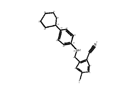 N#Cc1ccc(F)cc1CNc1ccc(C2CCCCC2)cc1